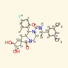 Cc1cc(F)ccc1C1C2CC(CCO)(CCO)C(=O)N2CCN1C(=O)N(C)[C@H](C)c1cc(C(F)(F)F)cc(C(F)(F)F)c1